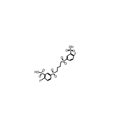 O=S(=O)(O)c1cc(S(=O)(=O)CCCCS(=O)(=O)c2ccc(F)c(S(=O)(=O)O)c2)ccc1F